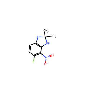 CC1(C)Nc2ccc(F)c([N+](=O)[O-])c2N1